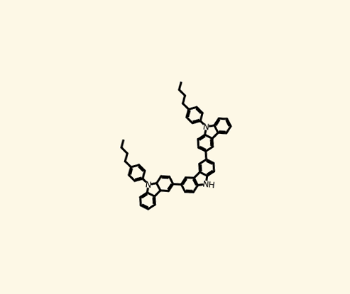 CCCCc1ccc(N2c3ccccc3C3C=C(c4ccc5[nH]c6ccc(-c7ccc8c(c7)c7ccccc7n8-c7ccc(CCCC)cc7)cc6c5c4)C=CC32)cc1